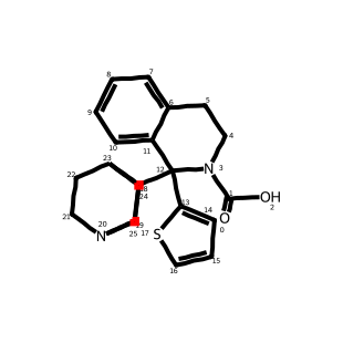 O=C(O)N1CCc2ccccc2C1(c1cccs1)C1CN2CCC1CC2